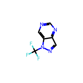 FC(F)(F)n1ncc2ncncc21